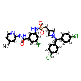 N#Cc1ccnc(NC(=O)c2cc(F)cc(NS(=O)(=O)CC3CN(C(c4ccc(Cl)cc4)c4ccc(Cl)cc4)C3)c2)c1